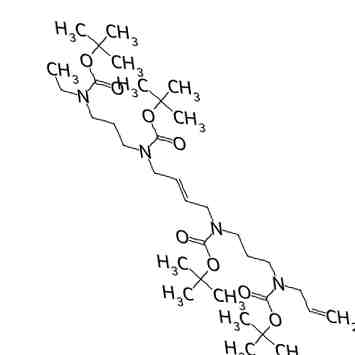 C=CCN(CCCN(C/C=C/CN(CCCN(CC)C(=O)OC(C)(C)C)C(=O)OC(C)(C)C)C(=O)OC(C)(C)C)C(=O)OC(C)(C)C